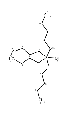 CCCCOP(O)(CCCC)(CCCC)OCCCC